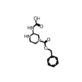 O=C(O)NC1CN(C(=O)OCc2ccccc2)CCN1